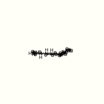 O=C(CCCCCNC(=O)CCCC[C@@H]1SC[C@@H]2NC(=O)N[C@@H]21)NCCCCCNC(=O)CCC(=O)OCCCC1OCCN(c2ccc(N3C[C@H](CNC(=O)c4ccc(Cl)s4)OC3=O)c(F)c2)C1=O